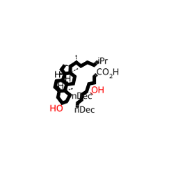 CC(C)CCC[C@@H](C)[C@H]1CC[C@H]2[C@@H]3CC=C4C[C@@H](O)CC[C@]4(C)[C@H]3CC[C@]12C.CCCCCCCCCCCCCCCCCC(=O)O.CCCCCCCCCCO